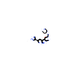 Cn1cc(-c2cnc3[nH]c4cnc(C#N)c(OC5CCCNC5)c4c3c2)cn1